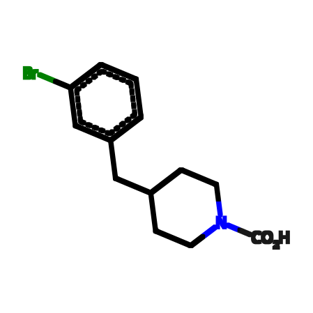 O=C(O)N1CCC(Cc2cccc(Br)c2)CC1